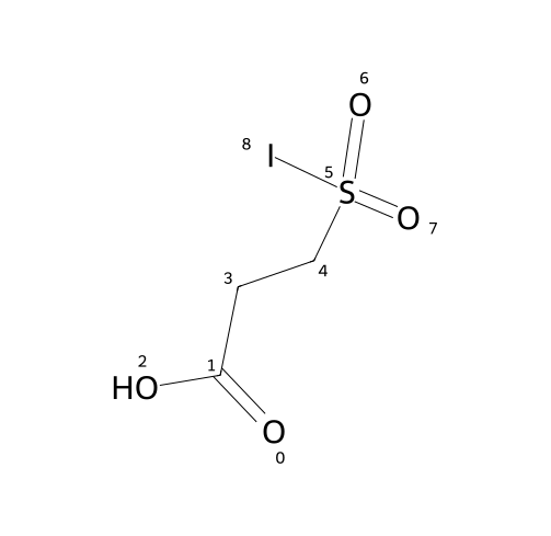 O=C(O)CCS(=O)(=O)I